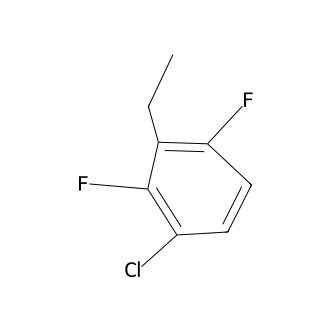 CCc1c(F)ccc(Cl)c1F